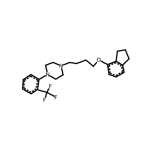 FC(F)(F)c1ccccc1N1CCN(CCCCOc2cccc3c2CCC3)CC1